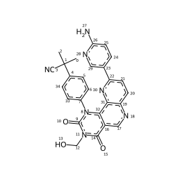 CC(C)(C#N)c1ccc(-n2c(=O)n(CO)c(=O)c3cnc4ccc(-c5ccc(N)nc5)nc4c32)cc1